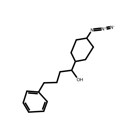 [N-]=[N+]=NC1CCC(C(O)CCCc2ccccc2)CC1